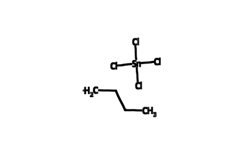 [CH2]CCC.[Cl][Sn]([Cl])([Cl])[Cl]